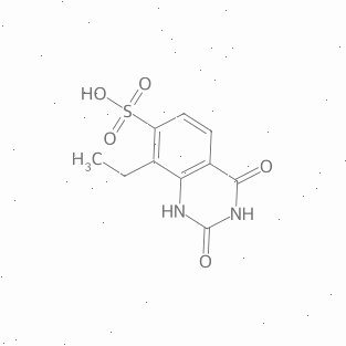 CCc1c(S(=O)(=O)O)ccc2c(=O)[nH]c(=O)[nH]c12